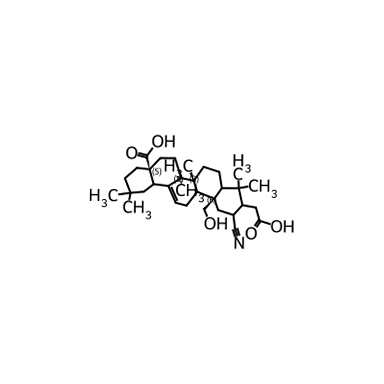 CC1(C)CC[C@]2(C(=O)O)CC[C@]3(C)C(=CCC4[C@@]5(CO)CC(C#N)C(CC(=O)O)C(C)(C)C5CC[C@]43C)C2C1